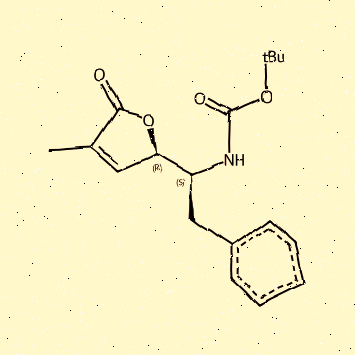 CC1=C[C@H]([C@H](Cc2ccccc2)NC(=O)OC(C)(C)C)OC1=O